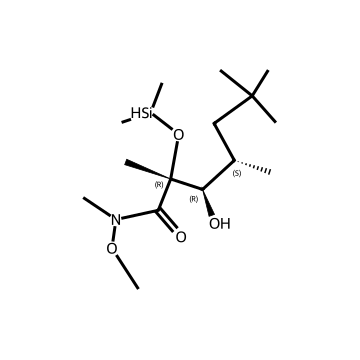 CON(C)C(=O)[C@](C)(O[SiH](C)C)[C@H](O)[C@@H](C)CC(C)(C)C